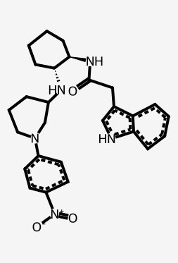 O=C(Cc1c[nH]c2ccccc12)N[C@@H]1CCCC[C@H]1NC1CCCN(c2ccc([N+](=O)[O-])cc2)C1